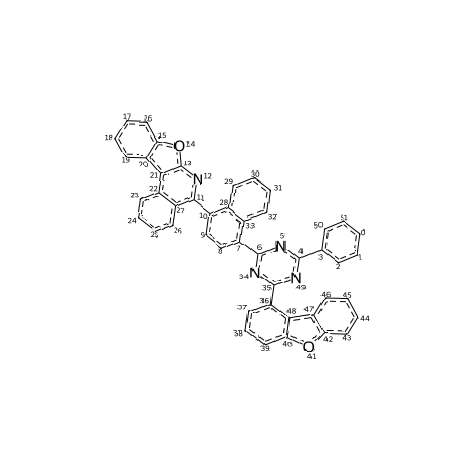 c1ccc(-c2nc(-c3ccc(-c4nc5oc6ccccc6c5c5ccccc45)c4ccccc34)nc(-c3cccc4oc5ccccc5c34)n2)cc1